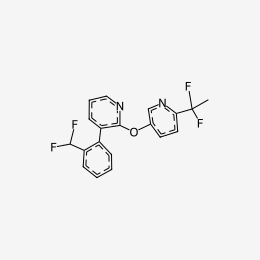 CC(F)(F)c1ccc(Oc2ncccc2-c2ccccc2C(F)F)cn1